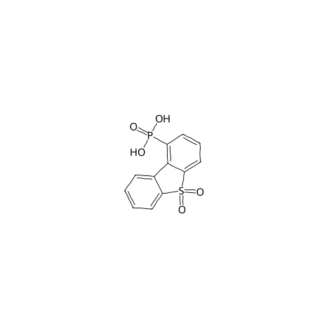 O=P(O)(O)c1cccc2c1-c1ccccc1S2(=O)=O